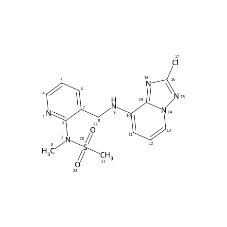 CN(c1ncccc1CNc1cccn2nc(Cl)nc12)S(C)(=O)=O